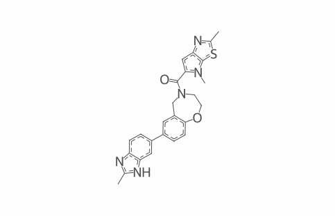 Cc1nc2ccc(-c3ccc4c(c3)CN(C(=O)c3cc5nc(C)sc5n3C)CCO4)cc2[nH]1